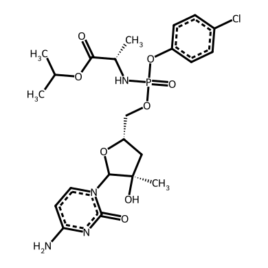 CC(C)OC(=O)[C@H](C)NP(=O)(OC[C@@H]1C[C@@](C)(O)C(n2ccc(N)nc2=O)O1)Oc1ccc(Cl)cc1